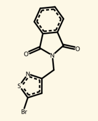 O=C1c2ccccc2C(=O)N1Cc1cc(Br)sn1